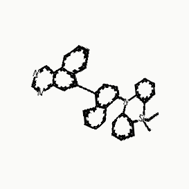 C[Si]1(C)c2ccccc2N(c2ccc(-c3cc4ncncc4c4ccccc34)c3ccccc23)c2ccccc21